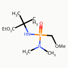 CCOC(=O)C(C)(C)NP(=O)(COC)N(C)C